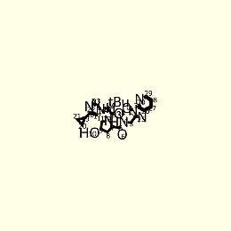 Cn1c(CNC(=O)C2CC(O)CN2C(=O)[C@@H](n2cc(C3CC3)nn2)C(C)(C)C)nc2cccnc21